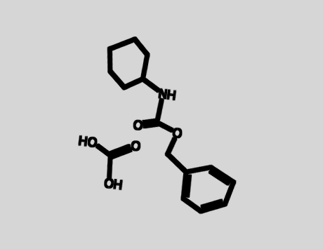 O=C(NC1CCCCC1)OCc1ccccc1.O=C(O)O